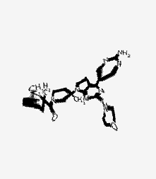 CN1CCC1(C)C(=O)N1CC[C@](C)(N2CCc3c(-c4cnc(N)nc4)nc(N4CCOCC4)nc32)C1